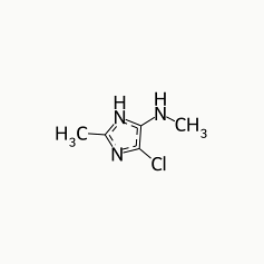 CNc1[nH]c(C)nc1Cl